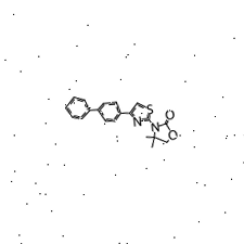 CC1(C)COC(=O)N1c1nc(-c2ccc(-c3ccccc3)cc2)cs1